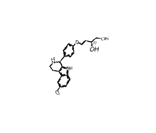 OC[C@@H](O)CCOc1ccc(C2NCCc3c2[nH]c2ccc(Cl)cc32)cc1